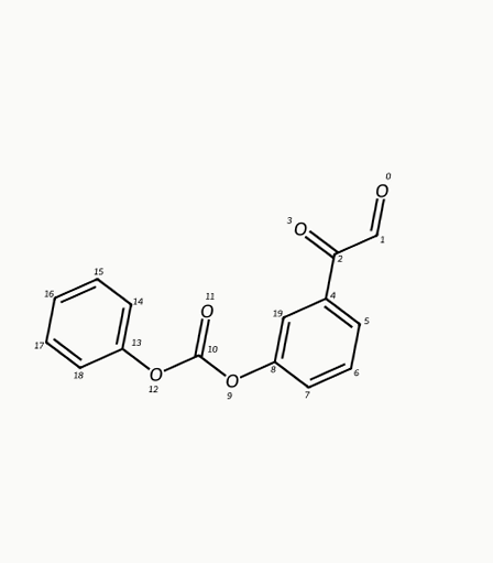 O=CC(=O)c1cccc(OC(=O)Oc2ccccc2)c1